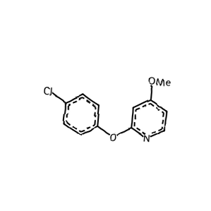 COc1ccnc(Oc2ccc(Cl)cc2)c1